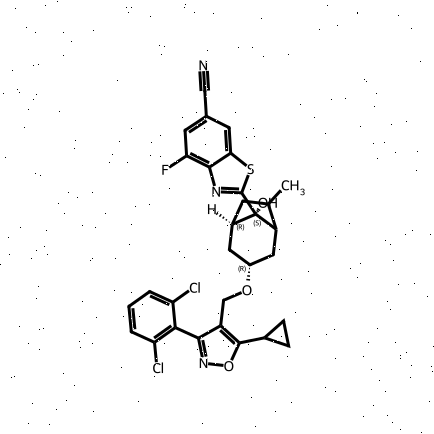 CC1C[C@@H]2C[C@@H](OCc3c(-c4c(Cl)cccc4Cl)noc3C3CC3)CC1[C@]2(O)c1nc2c(F)cc(C#N)cc2s1